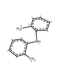 Cc1cccc[c]1[Mo][c]1ccccc1C